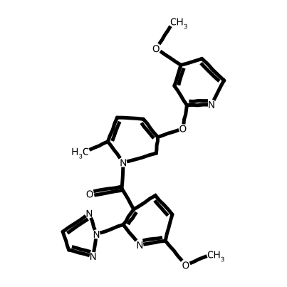 COc1ccnc(OC2=CC=C(C)N(C(=O)c3ccc(OC)nc3-n3nccn3)C2)c1